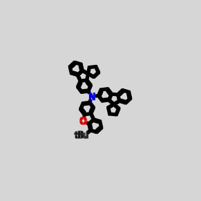 CC(C)(C)c1cccc2c1oc1ccc(N(c3ccc4c(c3)C3(CCCC3)c3ccccc3-4)c3ccc4c(c3)C3(CCCC3)c3ccccc3-4)cc12